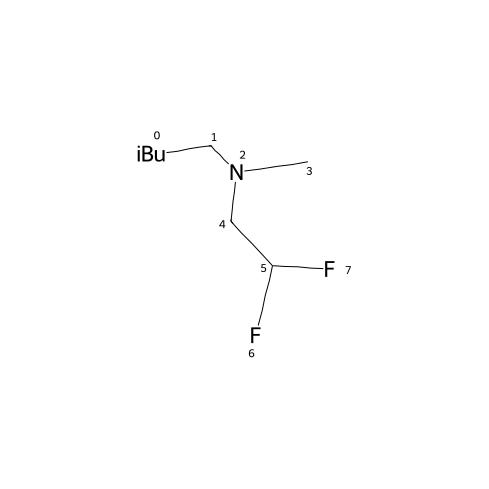 CCC(C)CN(C)CC(F)F